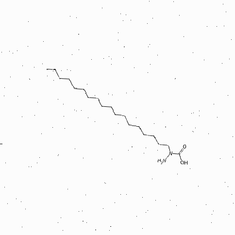 CCCCCCCCCCCCCCCCCCN(N)C(=O)O